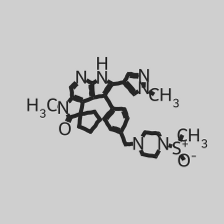 CN1C(=O)C2(CCCC2)c2c1cnc1[nH]c(-c3cnn(C)c3)c(-c3ccc(CN4CCN([S+](C)[O-])CC4)cc3)c21